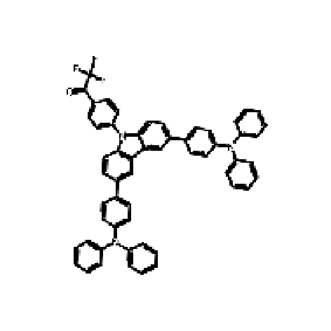 O=C(c1ccc(-n2c3ccc(-c4ccc(N(c5ccccc5)c5ccccc5)cc4)cc3c3cc(-c4ccc(N(c5ccccc5)c5ccccc5)cc4)ccc32)cc1)C(F)(F)F